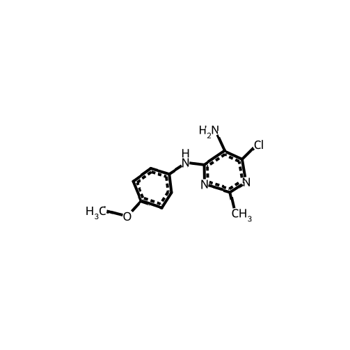 COc1ccc(Nc2nc(C)nc(Cl)c2N)cc1